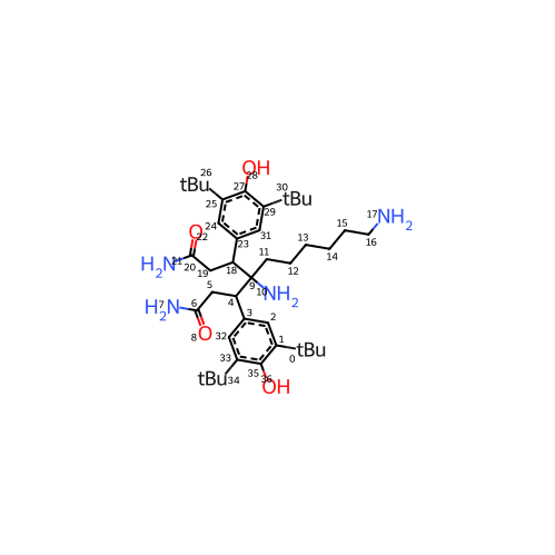 CC(C)(C)c1cc(C(CC(N)=O)C(N)(CCCCCCN)C(CC(N)=O)c2cc(C(C)(C)C)c(O)c(C(C)(C)C)c2)cc(C(C)(C)C)c1O